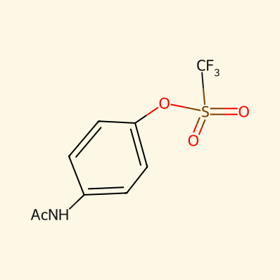 CC(=O)Nc1ccc(OS(=O)(=O)C(F)(F)F)cc1